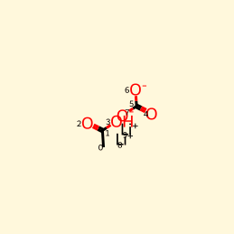 CC(=O)O.O=C([O-])[O-].[Li+].[Li+]